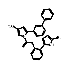 C=C(Cc1ccccc1-c1ccc(CC)[nH]1)n1cc(C(C)(C)C)cc1-c1cccc(-c2ccccc2)c1